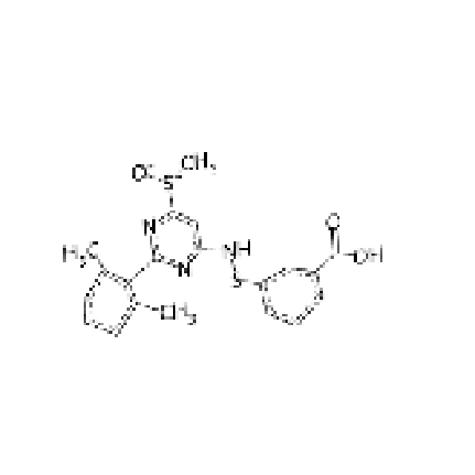 Cc1cccc(C)c1-c1nc(NSc2cccc(C(=O)O)c2)cc([S+](C)[O-])n1